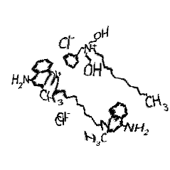 CCCCCCCCCCCC[N+](CCO)(CCO)Cc1ccccc1.Cc1cc(N)c2ccccc2[n+]1CCCCCCCCCC[n+]1c(C)cc(N)c2ccccc21.[Cl-].[Cl-].[Cl-]